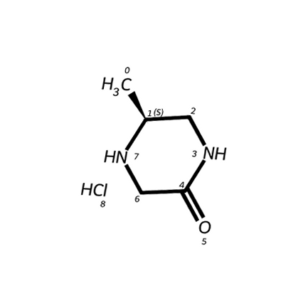 C[C@H]1CNC(=O)CN1.Cl